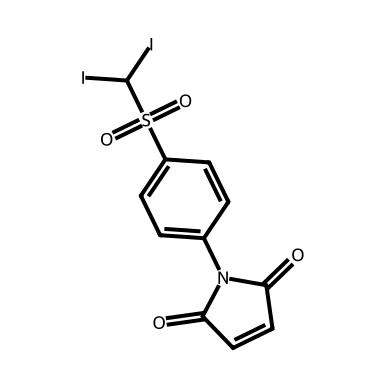 O=C1C=CC(=O)N1c1ccc(S(=O)(=O)C(I)I)cc1